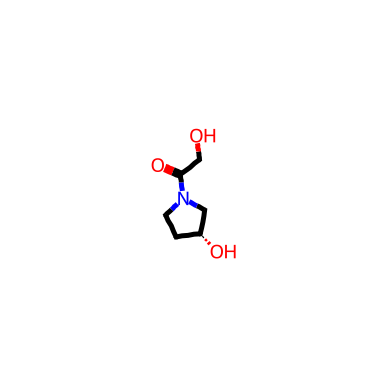 O=C(CO)N1CC[C@@H](O)C1